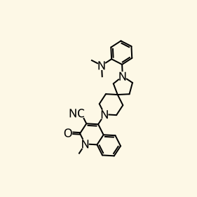 CN(C)c1ccccc1N1CCC2(CCN(c3c(C#N)c(=O)n(C)c4ccccc34)CC2)C1